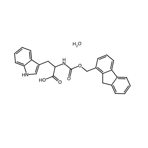 O.O=C(NC(Cc1c[nH]c2ccccc12)C(=O)O)OCc1cccc2c1Cc1ccccc1-2